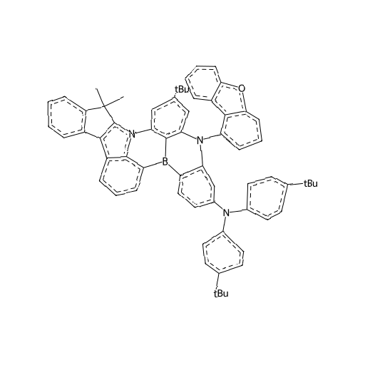 CC(C)(C)c1ccc(N(c2ccc(C(C)(C)C)cc2)c2ccc3c(c2)N(c2cccc4oc5ccccc5c24)c2cc(C(C)(C)C)cc4c2B3c2cccc3c5c(n-4c23)C(C)(C)c2ccccc2-5)cc1